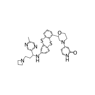 Cc1cnc(C(CCN2CCC2)Nc2ccc3c(c2)Sc2cccc(C4CN(c5cc[nH]c(=O)c5)CCO4)c2S3)cn1